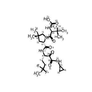 CC(F)(F)CC[C@H](NC(=O)[C@@H]1CC(C)(C)CN1C(=O)[C@@H](NC(=O)O)C(C)(C)C)C(=O)C(=O)NC1CC1